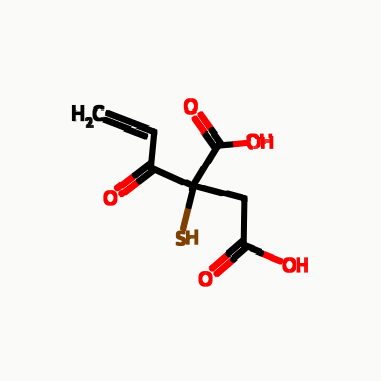 C=CC(=O)C(S)(CC(=O)O)C(=O)O